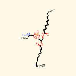 CCCCCC/C=C\CCCCCCCC(=O)O[C@H](COC(=O)CCCCCCCCCCCCCCCCCCC)COP(=O)(O)OC[C@H](N)C(=O)O